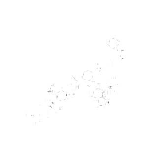 CC(C)c1ccccc1[C@H]1CCCN1C1CC2(CCN(c3ccc(C(=O)NS(=O)(=O)c4cc5c(c([N+](=O)[O-])c4)N[C@@H](C4CCC(C)(O)CC4)CO5)c(Oc4cc5cc[nH]c5nc4OC[C@@H]4CCCN4)c3)CC2)C1